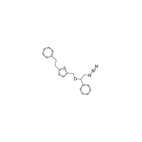 [N-]=[N+]=NCC(OCc1ccc(CCc2ccccc2)s1)c1ccccc1